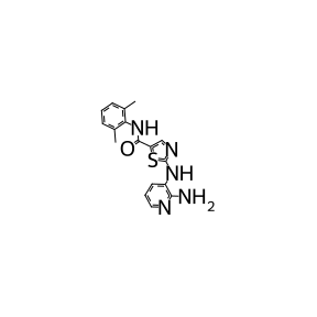 Cc1cccc(C)c1NC(=O)c1cnc(Nc2cccnc2N)s1